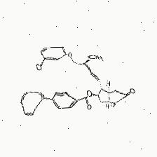 O=C1C[C@@H]2[C@@H](/C=C/[C@H](O)COc3cccc(Cl)c3)[C@H](OC(=O)c3ccc(-c4ccccc4)cc3)C[C@@H]2O1